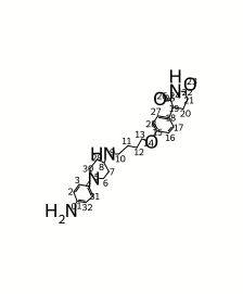 Nc1ccc(N2CCC(NCCCCOc3ccc(C4CCC(=O)NC4=O)cc3)CC2)cc1